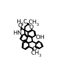 CC(=O)c1ccccc1C(c1ccccc1)c1cc2c(cc1O)OC(C)(C)CC21C(=O)Nc2ccccc21